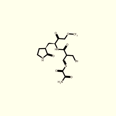 CC(C)CC(/C=N/C(=O)C(N)=O)C(=O)N[C@@H](C[C@@H]1CCNC1=O)C(=O)COC(F)(F)F